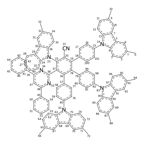 Cc1ccc2c(c1)c1cc(C)ccc1n2-c1ccc(-c2c(C#N)c(-n3c4ccccc4c4cc(C)ccc43)c(-c3nc(-c4ccccc4)cc(-c4ccccc4)n3)c(-c3ccc(-n4c5ccc(C)cc5c5cc(C)ccc54)cc3)c2-c2ccc(-n3c4ccc(C)cc4c4cc(C)ccc43)cc2)cc1